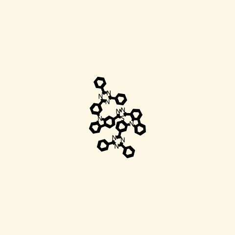 c1ccc(-c2nc(-c3ccccc3)nc(-c3cccc(-n4c5ccccc5c5ccc(-c6nnc(-c7cccc8c9ccccc9n(-c9cccc(-c%10nc(-c%11ccccc%11)nc(-c%11ccccc%11)n%10)c9)c78)s6)cc54)c3)n2)cc1